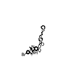 COc1cc2c(N[C@H](C)c3cccc(Br)c3)nc(C)nc2cc1OCC(=O)N1CCN(CCCCN2CCCCC2)CC1